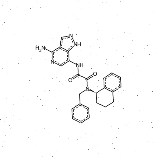 Nc1ncc(NC(=O)C(=O)N(Cc2ccccc2)[C@@H]2CCCc3ccccc32)c2[nH]ncc12